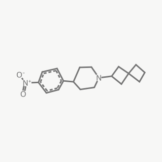 O=[N+]([O-])c1ccc(C2CCN(C3CC4(CCC4)C3)CC2)cc1